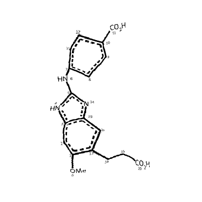 COc1cc2[nH]c(Nc3ccc(C(=O)O)cc3)nc2cc1CCC(=O)O